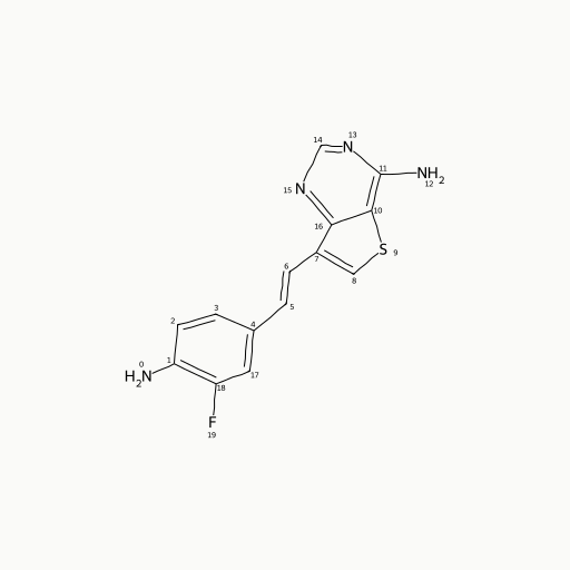 Nc1ccc(/C=C/c2csc3c(N)ncnc23)cc1F